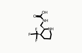 O=C(O)NC[C@H]1NCCC[C@H]1C(F)(F)F